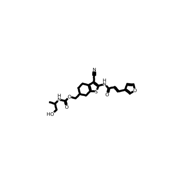 CC(CO)NC(=O)OCC1CCc2c(sc(NC(=O)C=Cc3ccoc3)c2C#N)C1